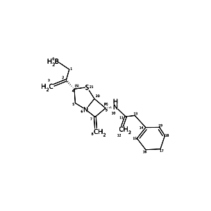 BCC(=C)[C@H]1CN2C(=C)[C@@H](NC(=C)CC3=CCCC=C3)C2S1